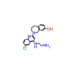 NCCNc1cc(N2CCCc3ccc(O)cc3C2)nc2ccc(Cl)cc12